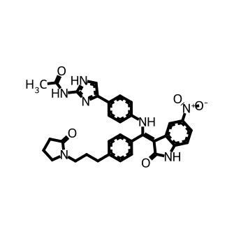 CC(=O)Nc1nc(-c2ccc(NC(=C3C(=O)Nc4ccc([N+](=O)[O-])cc43)c3ccc(CCCN4CCCC4=O)cc3)cc2)c[nH]1